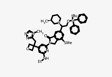 CCNc1cc(C2(Cc3nncn3C)COC2)cc(N2Cc3c(SC)cc(C(CO[Si](c4ccccc4)(c4ccccc4)C(C)(C)C)N4CCC[C@H](C)C4)cc3C2=O)n1